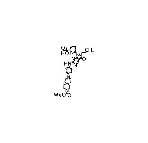 C=CCn1c(=O)c2cnc(Nc3ccc(N4CCC5(CCN(C(=O)OC)CC5)CC4)cc3)nc2n1-c1cccc(C2(O)COC2)n1